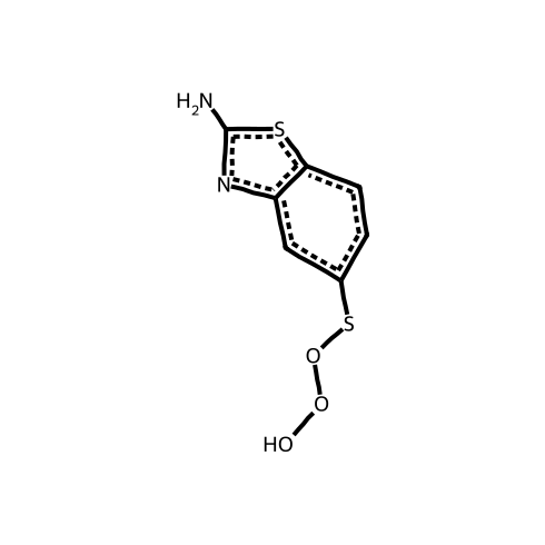 Nc1nc2cc(SOOO)ccc2s1